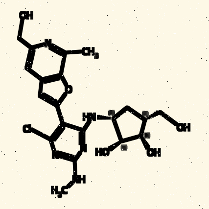 CNc1nc(Cl)c(-c2cc3cc(CO)nc(C)c3o2)c(N[C@@H]2C[C@H](CO)[C@@H](O)[C@H]2O)n1